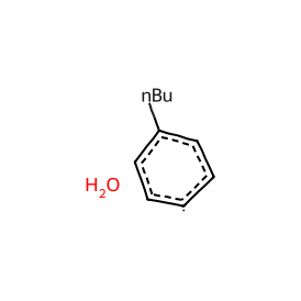 CCCCc1cc[c]cc1.O